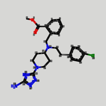 COC(=O)c1ccccc1CN(CCc1ccc(Cl)cc1)C1CCN(c2nnc(N)[nH]2)CC1